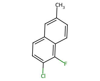 Cc1ccc2c(F)c(Cl)ccc2c1